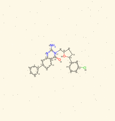 Nc1nc2cc(-c3ccccc3)ccc2c(=O)n1CC1CCC(c2cccc(Cl)c2)O1